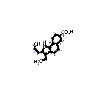 C=Cc1c(/C=C\C)[nH]c2c1ccc1cc(C(=O)O)ccc12